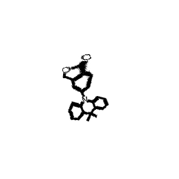 CC1(C)c2ccccc2N(c2ccc3c(c2)COC3=O)c2ccccc21